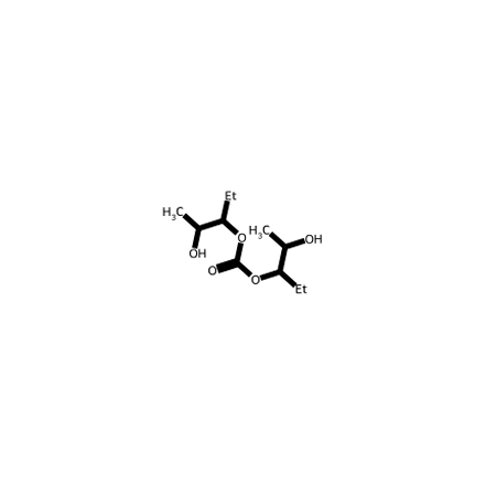 CCC(OC(=O)OC(CC)C(C)O)C(C)O